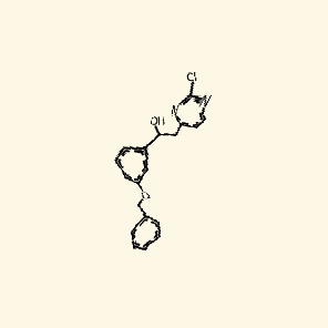 OC(Cc1ccnc(Cl)n1)c1cccc(OCc2ccccc2)c1